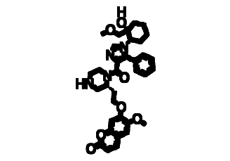 COC[C@]1(O)CCCC[C@H]1n1cnc(C(=O)N2CCNC[C@H]2CCOc2cc3oc(=O)ccc3cc2OC)c1-c1ccccc1